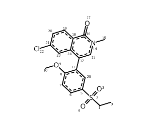 CCS(=O)(=O)c1ccc(OC)c(-c2cn(C)c(=O)c3ccc(Cl)cc23)c1